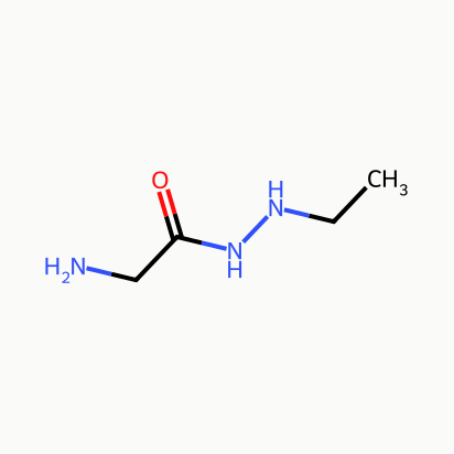 CCNNC(=O)CN